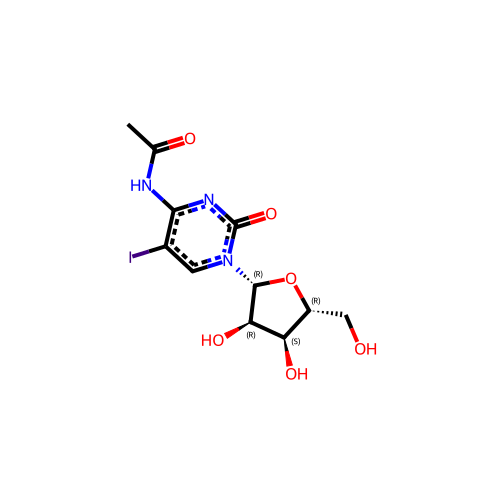 CC(=O)Nc1nc(=O)n([C@@H]2O[C@H](CO)[C@@H](O)[C@H]2O)cc1I